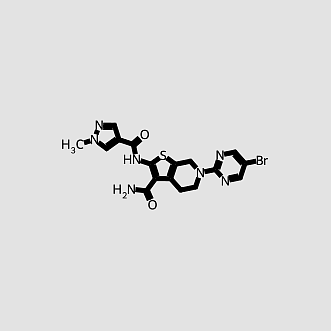 Cn1cc(C(=O)Nc2sc3c(c2C(N)=O)CCN(c2ncc(Br)cn2)C3)cn1